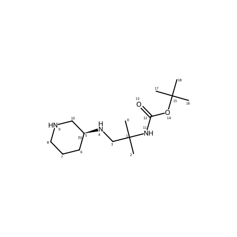 CC(C)(CN[C@H]1CCCNC1)NC(=O)OC(C)(C)C